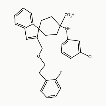 O=C(O)C1(Nc2cccc(Cl)c2)CCC2(CC1)C(COCCc1ccccc1F)=Cc1ccccc12